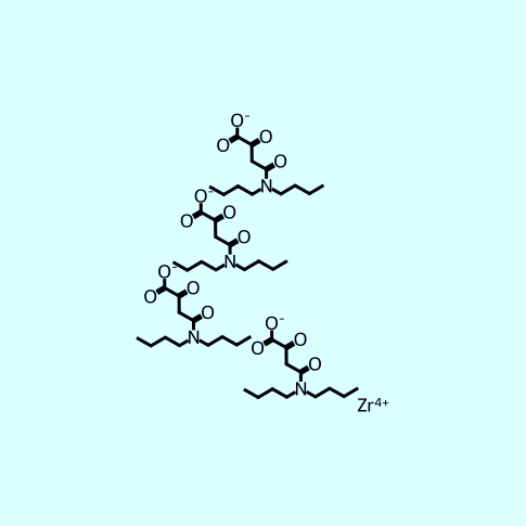 CCCCN(CCCC)C(=O)CC(=O)C(=O)[O-].CCCCN(CCCC)C(=O)CC(=O)C(=O)[O-].CCCCN(CCCC)C(=O)CC(=O)C(=O)[O-].CCCCN(CCCC)C(=O)CC(=O)C(=O)[O-].[Zr+4]